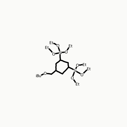 CCO[Si](OCC)(OCC)C1CC(COC(C)CC)CC([Si](OCC)(OCC)OCC)C1